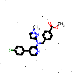 COC(=O)c1ccc(CN(c2cc(-c3ccc(F)cc3)ccn2)c2ccn(C)n2)cc1